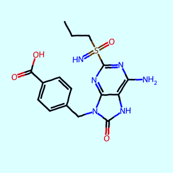 CCCS(=N)(=O)c1nc(N)c2[nH]c(=O)n(Cc3ccc(C(=O)O)cc3)c2n1